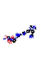 Cc1nnc2n1-c1ccc(-c3cnn(C)c3)cc1C(c1ccc(N3CCN(CCn4cc(CNc5cccc6c5C(=O)N(C5CCC(=O)NC5=O)C6=O)nn4)CC3)cc1)=NC21CC1